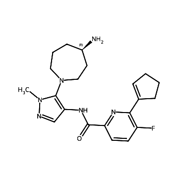 Cn1ncc(NC(=O)c2ccc(F)c(C3=CCCC3)n2)c1N1CCC[C@@H](N)CC1